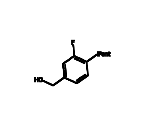 CCCC(C)c1ccc(CO)cc1F